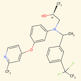 CC(c1cccc(C(F)(F)C(F)(F)F)c1)N(C[C@@H](O)C(F)(F)F)c1cccc(Oc2ccnc(C(F)(F)F)c2)c1